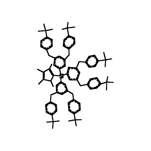 CC1=C(C)C(C)C([Si](c2cc(Cc3ccc(C(C)(C)C)cc3)cc(Cc3ccc(C(C)(C)C)cc3)c2)(c2cc(Cc3ccc(C(C)(C)C)cc3)cc(Cc3ccc(C(C)(C)C)cc3)c2)c2cc(Cc3ccc(C(C)(C)C)cc3)cc(Cc3ccc(C(C)(C)C)cc3)c2)=C1C